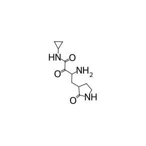 NC(CC1CCNC1=O)C(=O)C(=O)NC1CC1